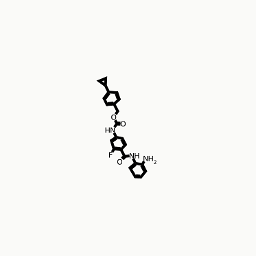 Nc1ccccc1NC(=O)c1ccc(NC(=O)OCc2ccc(C3CC3)cc2)cc1F